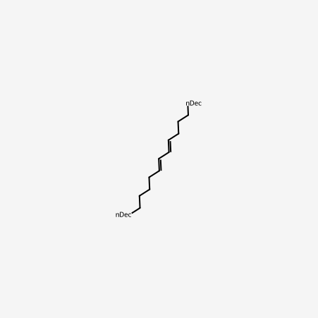 CCCCCCCCCCCCCC=CC=CCCCCCCCCCCCCCC